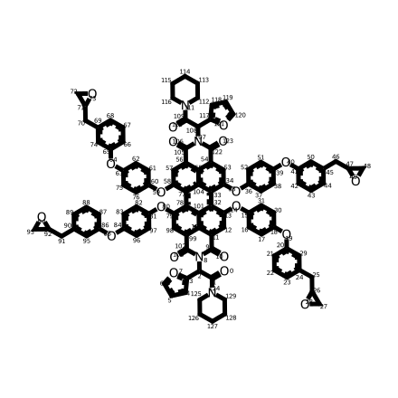 O=C(C(c1ccco1)N1C(=O)c2cc(Oc3ccc(Oc4cccc(CC5CO5)c4)cc3)c3c4c(Oc5ccc(Oc6cccc(CC7CO7)c6)cc5)cc5c6c(cc(Oc7ccc(Oc8cccc(CC9CO9)c8)cc7)c(c7c(Oc8ccc(Oc9cccc(CC%10CO%10)c9)cc8)cc(c2c37)C1=O)c64)C(=O)N(C(C(=O)N1CCCCC1)c1ccco1)C5=O)N1CCCCC1